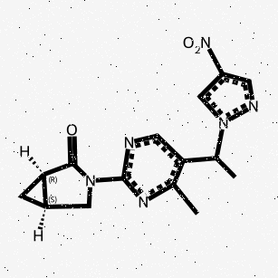 Cc1nc(N2C[C@H]3C[C@H]3C2=O)ncc1C(C)n1cc([N+](=O)[O-])cn1